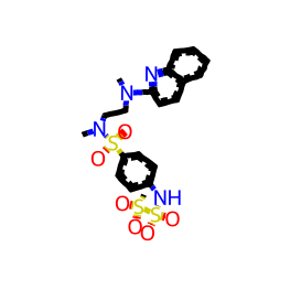 CN(CCN(C)S(=O)(=O)c1ccc(NS(=O)(=O)S(C)(=O)=O)cc1)c1ccc2ccccc2n1